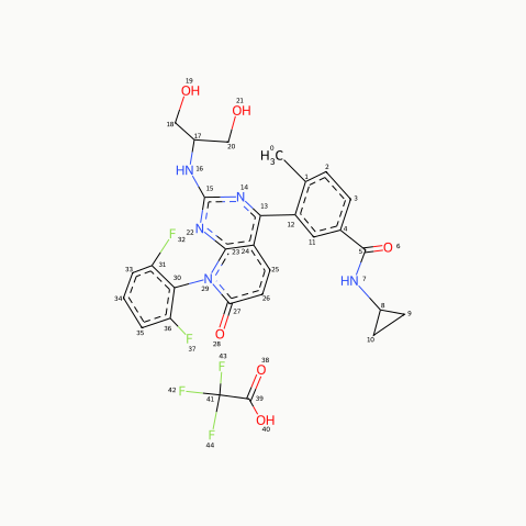 Cc1ccc(C(=O)NC2CC2)cc1-c1nc(NC(CO)CO)nc2c1ccc(=O)n2-c1c(F)cccc1F.O=C(O)C(F)(F)F